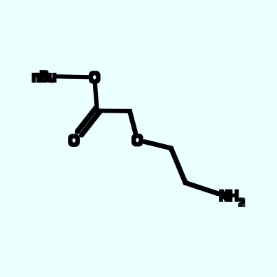 CCCCOC(=O)COCCN